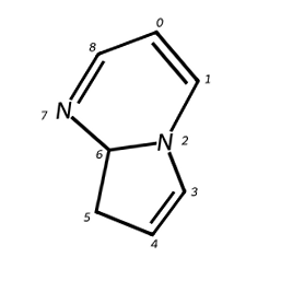 C1=CN2C=CCC2N=C1